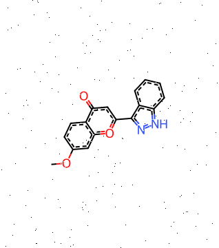 COc1ccc2c(=O)cc(-c3n[nH]c4ccccc34)oc2c1